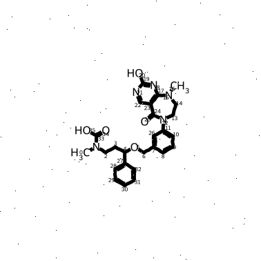 CN(CCC(OCc1cccc(N2CCN(C)c3nc(O)ncc3C2=O)c1)c1ccccc1)C(=O)O